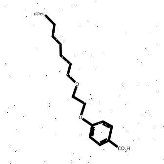 CCCCCCCCCCCCCCCCOCCOc1ccc(C(=O)O)cc1